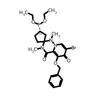 CCOP(OCC)[C@H]1CCC2(C1)N(C)C(=O)c1c(OCc3ccccc3)c(=O)c(Br)cn1N2C